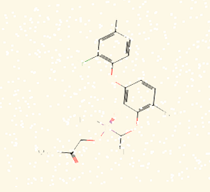 COC(=O)COP(C)(=O)C(C)Oc1cc(Oc2ccc(C(F)(F)F)cc2Cl)ccc1[N+](=O)[O-]